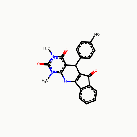 Cn1c2c(c(=O)n(C)c1=O)C(c1ccc(N=O)cc1)C1=C(N2)c2ccccc2C1=O